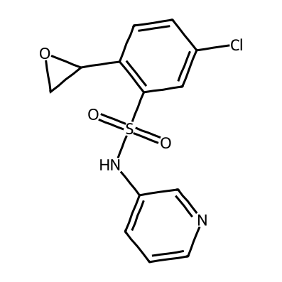 O=S(=O)(Nc1cccnc1)c1cc(Cl)ccc1C1CO1